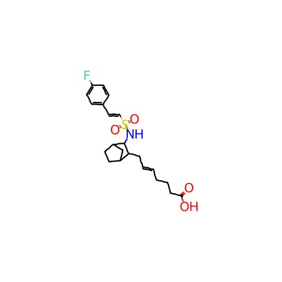 O=C(O)CCCC=CCC1C2CCC(C2)C1NS(=O)(=O)C=Cc1ccc(F)cc1